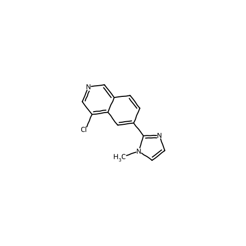 Cn1ccnc1-c1ccc2cncc(Cl)c2c1